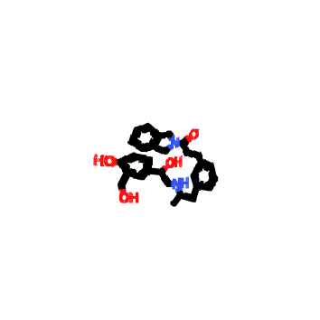 CC(Cc1cccc(CCC(=O)N2Cc3ccccc3C2)c1)NCC(O)c1ccc(O)c(CO)c1